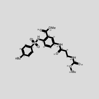 CCCCc1ccc(S(=O)(=O)Nc2ccc(NC(=O)CCNC(=O)OC(C)(C)C)cc2C(=O)OC)cc1